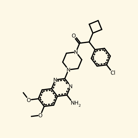 COc1cc2nc(N3CCN(C(=O)C(c4ccc(Cl)cc4)C4CCC4)CC3)nc(N)c2cc1OC